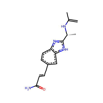 C=C(C)N[C@H](C)c1nc2ccc(/C=C/C(N)=O)cc2[nH]1